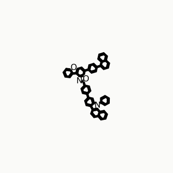 c1ccc(-n2c3cc(-c4ccc(-c5nc6c(o5)c(-c5ccc(-c7cccc8ccccc78)cc5)cc5oc7ccccc7c56)cc4)ccc3c3ccc4ccccc4c32)cc1